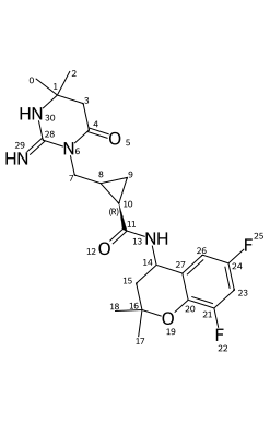 CC1(C)CC(=O)N(CC2C[C@H]2C(=O)NC2CC(C)(C)Oc3c(F)cc(F)cc32)C(=N)N1